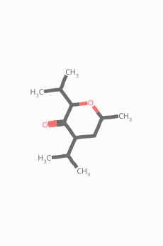 CC1CC(C(C)C)C(=O)C(C(C)C)O1